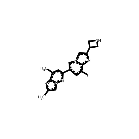 Cc1cn2nc(-c3cc(F)c4nc(C5CNC5)cn4c3)cc(C)c2n1